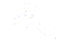 O=C(c1c(F)ccc(NS(=O)(=O)c2cccc(F)c2)c1F)c1cn(C(=O)c2c(Cl)cccc2Cl)c2ncc(Br)cc12